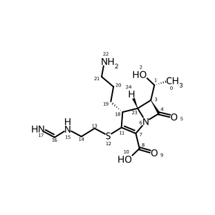 C[C@@H](O)[C@H]1C(=O)N2C(C(=O)O)=C(SCCNC=N)[C@H](CCCN)[C@H]12